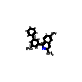 Bc1cc2cc(C(C)C)ccc2c(-c2cc(-c3ccccc3)cc(C(C)C)c2)n1